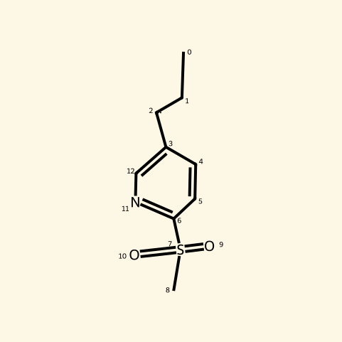 CC[CH]c1ccc(S(C)(=O)=O)nc1